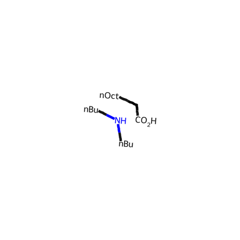 CCCCCCCCCC(=O)O.CCCCNCCCC